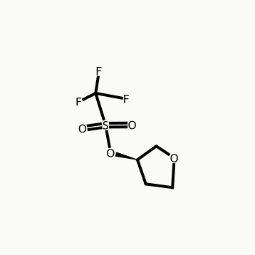 O=S(=O)(O[C@@H]1CCOC1)C(F)(F)F